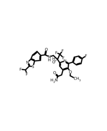 CCOc1c(CC(N)=O)cc([C@@](O)(CNC(=O)c2ccc3nc(C(F)F)sc3c2)C(F)(F)F)nc1-c1ccc(F)cc1